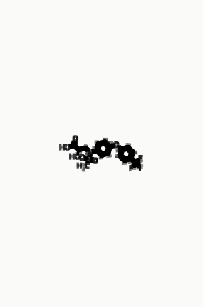 CS(=O)(=O)N(C[C@H](O)C(=O)O)c1ccc(Oc2ccc(C(F)(F)F)cc2)cc1